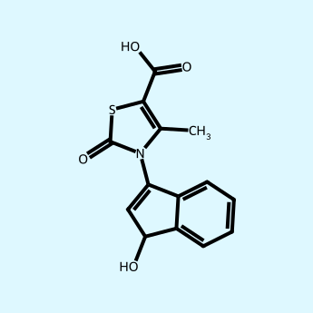 Cc1c(C(=O)O)sc(=O)n1C1=CC(O)c2ccccc21